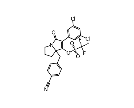 N#Cc1ccc(CC23CCCN2C(=O)C(c2cc(Cl)cc(Cl)c2)=C3OS(=O)(=O)C(F)(F)F)cc1